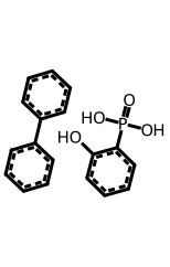 O=P(O)(O)c1ccccc1O.c1ccc(-c2ccccc2)cc1